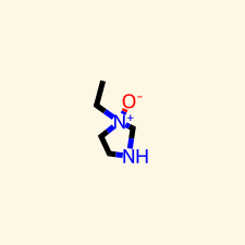 CC[N+]1([O-])CCNC1